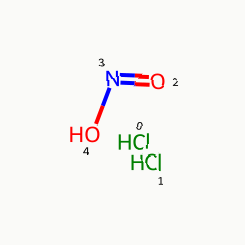 Cl.Cl.O=NO